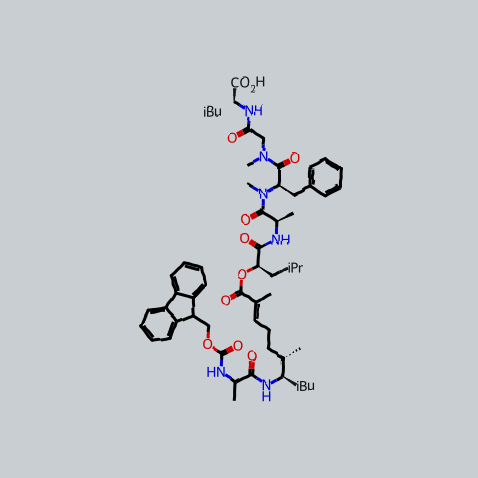 CCC(C)[C@@H](NC(=O)C(C)NC(=O)OCC1c2ccccc2-c2ccccc21)[C@@H](C)CC/C=C(\C)C(=O)O[C@H](CC(C)C)C(=O)N[C@H](C)C(=O)N(C)[C@H](Cc1ccccc1)C(=O)N(C)CC(=O)N[C@H](C(=O)O)[C@H](C)CC